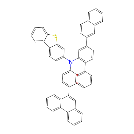 c1ccc(-c2ccc(-c3ccc4ccccc4c3)cc2N(c2ccc(-c3cc4ccccc4c4ccccc34)cc2)c2ccc3c(c2)sc2ccccc23)cc1